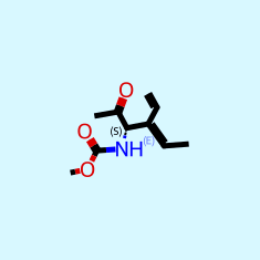 C=C/C(=C\C)[C@H](NC(=O)OC)C(C)=O